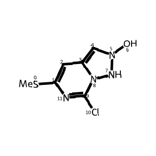 CSC1=CC2=CN(O)NN2C(Cl)=N1